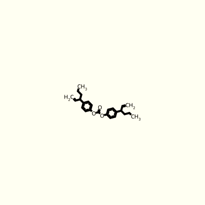 C=CC(CCC)c1ccc(OC(=O)Oc2ccc(C(C=C)CCC)cc2)cc1